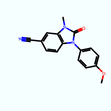 COc1ccc(-n2c(=O)n(C)c3cc(C#N)ccc32)cc1